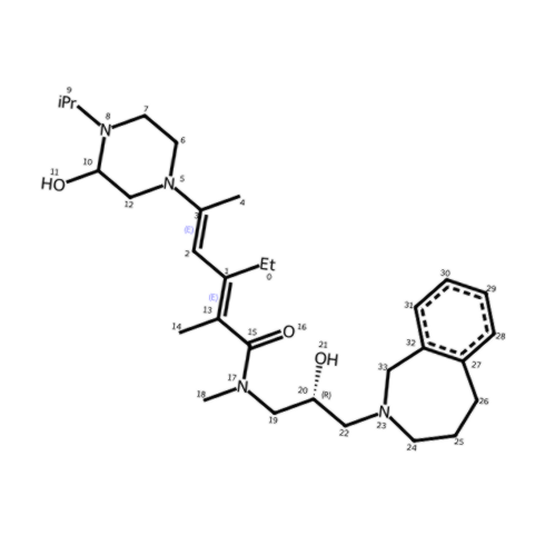 CCC(/C=C(\C)N1CCN(C(C)C)C(O)C1)=C(/C)C(=O)N(C)C[C@H](O)CN1CCCc2ccccc2C1